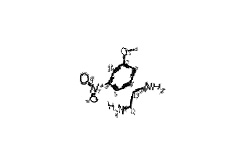 COc1cccc([N+](=O)[O-])c1.NCCN